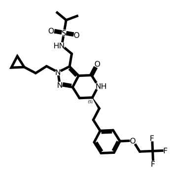 CC(C)S(=O)(=O)NCc1c2c(nn1CCC1CC1)C[C@H](CCc1cccc(OCC(F)(F)F)c1)NC2=O